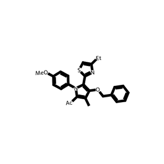 CCc1csc(-c2c(OCc3ccccc3)c(C)c(C(C)=O)n2-c2ccc(OC)cc2)n1